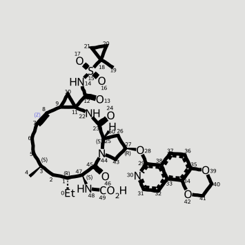 CC[C@@H]1C[C@@H](C)CC/C=C\C2CC2(C(=O)NS(=O)(=O)C2(C)CC2)NC(=O)[C@@H]2C[C@@H](Oc3nccc4c5c(ccc34)OCCO5)CN2C(=O)[C@H]1NC(=O)O